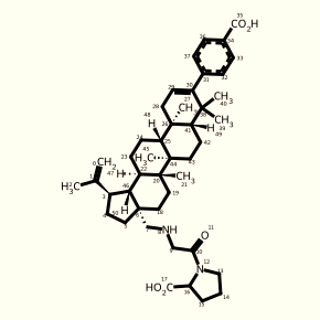 C=C(C)[C@@H]1CC[C@]2(CNCC(=O)N3CCCC3C(=O)O)CC[C@]3(C)[C@H](CC[C@@H]4[C@@]5(C)CC=C(c6ccc(C(=O)O)cc6)C(C)(C)[C@@H]5CC[C@]43C)[C@@H]12